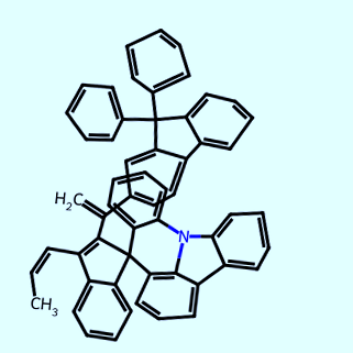 C=C(C1=C(/C=C\C)c2ccccc2C12c1ccccc1-n1c3ccccc3c3cccc2c31)c1ccc2c(c1)C(c1ccccc1)(c1ccccc1)c1ccccc1-2